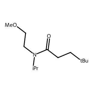 COCCN(C(=O)CCC(C)(C)C)C(C)C